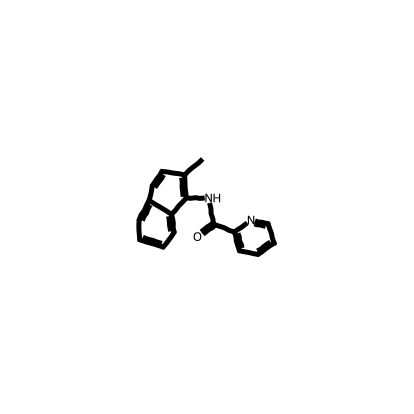 Cc1ccc2ccccc2c1NC(=O)c1ccccn1